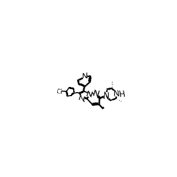 Cc1cc2nc(-c3ccc(Cl)cc3)c(-c3ccncc3)n2nc1N1C[C@@H](C)N[C@@H](C)C1